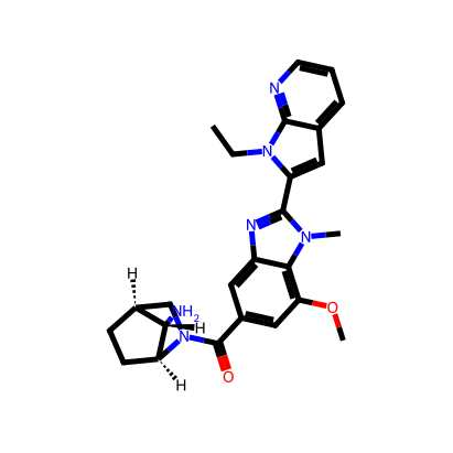 CCn1c(-c2nc3cc(C(=O)N4C[C@@H]5CC[C@H]4[C@H]5N)cc(OC)c3n2C)cc2cccnc21